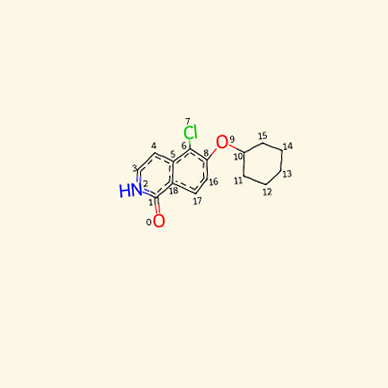 O=c1[nH]ccc2c(Cl)c(OC3CCCCC3)ccc12